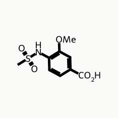 COc1cc(C(=O)O)ccc1NS(C)(=O)=O